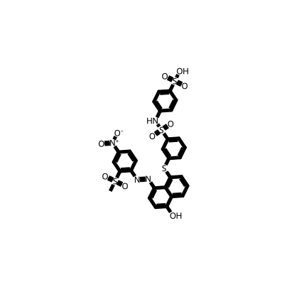 CS(=O)(=O)c1cc([N+](=O)[O-])ccc1N=Nc1ccc(O)c2cccc(Sc3cccc(S(=O)(=O)Nc4ccc(S(=O)(=O)O)cc4)c3)c12